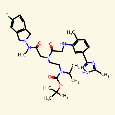 Cc1nc(-c2ccc(C)c(NCC(=O)N(CCN(C(=O)OC(C)(C)C)C(C)C)CC(=O)N(C)N3Cc4ccc(F)cc4C3)c2)n[nH]1